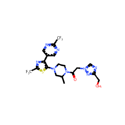 CC1CN(c2sc(C(F)(F)F)nc2-c2cnc(C(F)(F)F)nc2)CCN1C(=O)Cn1cnc(CO)n1